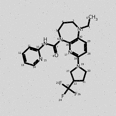 CCN1CCCN(C(=O)Nc2ccccn2)c2nc(N3CCC(C(F)(F)F)C3)ccc21